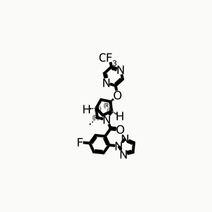 C[C@@H]1[C@H]2C[C@@H](Oc3cnc(C(F)(F)F)cn3)[C@H](C2)N1C(=O)c1cc(F)ccc1-n1nccn1